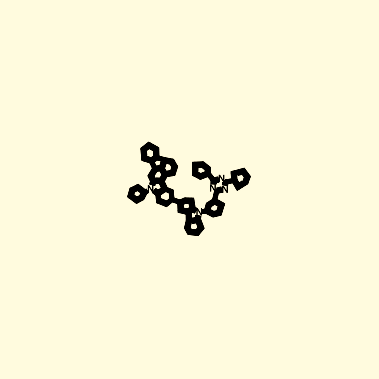 C1=CC(c2ccc3c(c2)c2ccccc2n3-c2cccc(-c3nc(-c4ccccc4)nc(-c4ccccc4)n3)c2)Cc2c1n(-c1ccccc1)c1cc3c4c(cccc4c21)-c1ccccc1-3